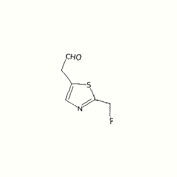 O=CCc1cnc(CF)s1